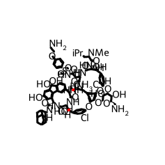 CN[C@H](CC(C)C)C(=O)N[C@H]1C(=O)N[C@@H](CC(=O)NS(=O)(=O)c2ccc(OCCN)cc2)C(=O)N[C@H]2C(=O)N[C@H]3C(=O)N[C@H](C(=O)N[C@H](C(=O)NC4C5CC6CC(C5)CC4C6)c4cc(O)cc5c4-c4cc3ccc4C5(O)O)[C@H](O)c3ccc(c(Cl)c3)Oc3cc2cc(c3O[C@@H]2O[C@H](CN)[C@@H](O)[C@H](O)[C@H]2O)Oc2ccc(cc2C)[C@H]1O